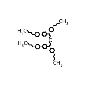 CCCCC[C@H]1CC[C@H](C(=CCOCC=C(c2ccc([C@H]3CC[C@H](CCCCC)CC3)cc2)[C@H]2CC[C@H](CCCCC)CC2)c2ccc([C@H]3CC[C@H](CCCCC)CC3)cc2)CC1